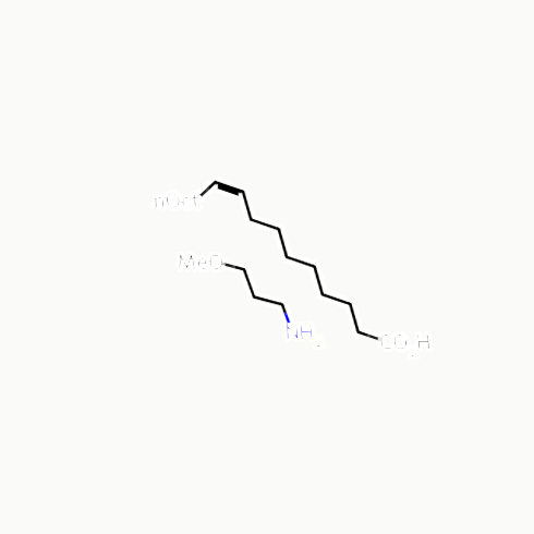 CCCCCCCC/C=C\CCCCCCCC(=O)O.COCCCN